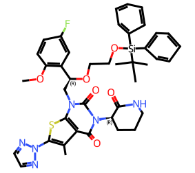 COc1ccc(F)cc1[C@H](Cn1c(=O)n([C@@H]2CCCNC2=O)c(=O)c2c(C)c(-n3nccn3)sc21)OCCO[Si](c1ccccc1)(c1ccccc1)C(C)(C)C